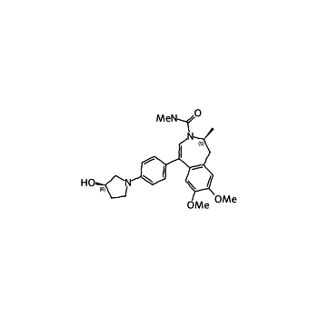 CNC(=O)N1C=C(c2ccc(N3CC[C@@H](O)C3)cc2)c2cc(OC)c(OC)cc2C[C@@H]1C